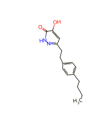 CCCCc1ccc(CCc2cc(O)c(=O)[nH]n2)cc1